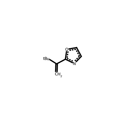 C=C(c1ncco1)C(C)(C)C